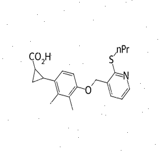 CCCSc1ncccc1COc1ccc(C2CC2C(=O)O)c(C)c1C